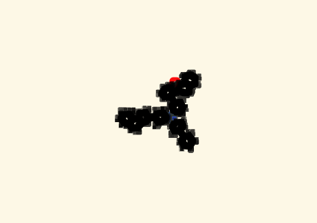 c1ccc(-c2ccc(N(c3ccc(-c4ccc5c(ccc6ccccc65)c4)cc3)c3cccc(-c4cccc5oc6c7ccccc7ccc6c45)c3)cc2)cc1